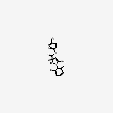 Cc1cccc(F)c1N1NC(C)(C(=O)Nc2ccc(C(F)(F)F)cn2)C=C1N